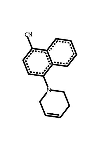 N#Cc1ccc(N2CC=CCC2)c2ccccc12